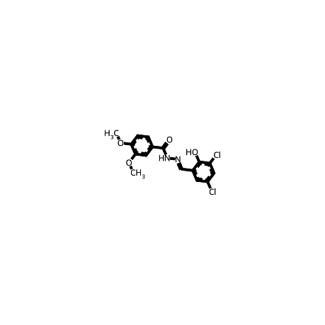 COc1ccc(C(=O)N/N=C/c2cc(Cl)cc(Cl)c2O)cc1OC